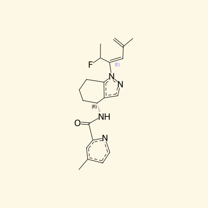 C=C(C)/C=C(\C(C)F)n1ncc2c1CCC[C@H]2NC(=O)c1cc(C)ccn1